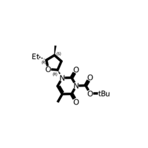 CC[C@H]1O[C@@H](n2cc(C)c(=O)n(C(=O)OC(C)(C)C)c2=O)C[C@@H]1C